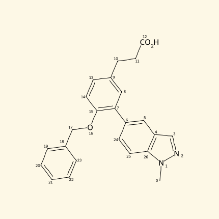 Cn1ncc2cc(-c3cc(CCC(=O)O)ccc3OCc3ccccc3)ccc21